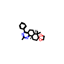 Cc1nc(-c2ccccc2)c2c(n1)[C@@]1(C)CCC3(OCCO3)C(C)(C)[C@@H]1CC2